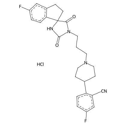 Cl.N#Cc1cc(F)ccc1C1CCN(CCCN2C(=O)NC3(CCc4cc(F)ccc43)C2=O)CC1